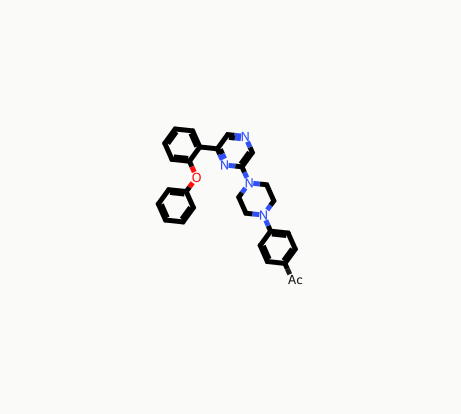 CC(=O)c1ccc(N2CCN(c3cncc(-c4ccccc4Oc4ccccc4)n3)CC2)cc1